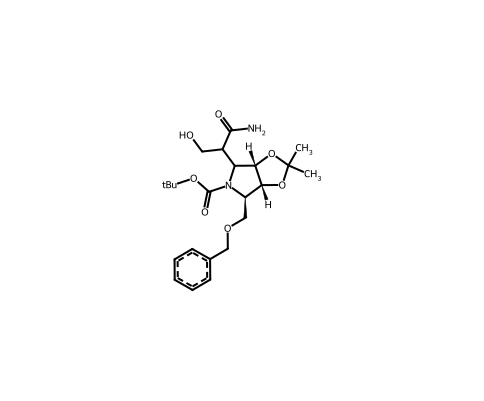 CC(C)(C)OC(=O)N1C(C(CO)C(N)=O)[C@@H]2OC(C)(C)O[C@@H]2[C@H]1COCc1ccccc1